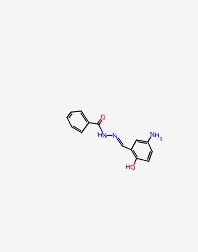 Nc1ccc(O)c(/C=N/NC(=O)c2ccccc2)c1